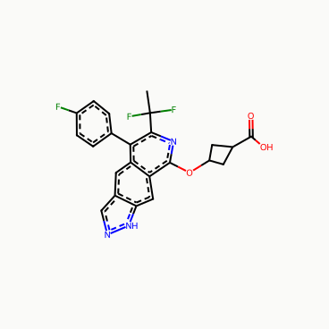 CC(F)(F)c1nc(OC2CC(C(=O)O)C2)c2cc3[nH]ncc3cc2c1-c1ccc(F)cc1